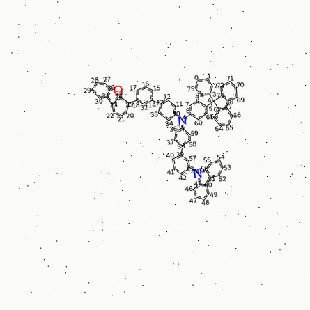 c1ccc(C2(c3ccc(N(c4ccc(-c5cccc(-c6cccc7c6oc6ccccc67)c5)cc4)c4ccc(-c5cccc(-n6c7ccccc7c7ccccc76)c5)cc4)cc3)c3ccccc3-c3ccccc32)cc1